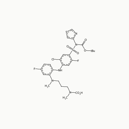 CN(CCCN(C)c1cc(F)ccc1Nc1cc(F)c(S(=O)(=O)N(C(=O)OC(C)(C)C)c2cscn2)cc1Cl)C(=O)O